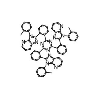 Cc1ccccc1-n1c(-c2ccccc2-c2nc(-c3ccccc3-c3nc4cccnc4n3-c3ccccc3C)nc(-c3ccccc3-c3nc4cccnc4n3-c3ccccc3C)n2)nc2cccnc21